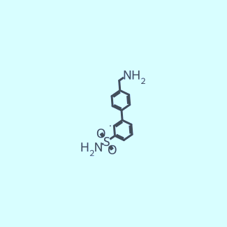 NCc1ccc(-c2[c]c(S(N)(=O)=O)ccc2)cc1